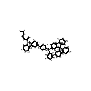 C=C(/C=C\C=C/C)n1c2ccccc2c2cc(-c3ccc(N(c4ccccc4)c4ccc5c(c4)C(c4ccccc4)(c4ccccc4)c4ccccc4-5)cc3)ccc21